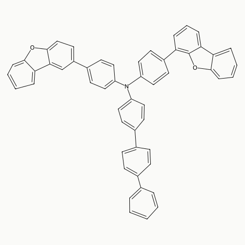 c1ccc(-c2ccc(-c3ccc(N(c4ccc(-c5ccc6oc7ccccc7c6c5)cc4)c4ccc(-c5cccc6c5oc5ccccc56)cc4)cc3)cc2)cc1